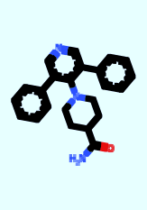 NC(=O)C1CCN(c2c(-c3ccccc3)cncc2-c2ccccc2)CC1